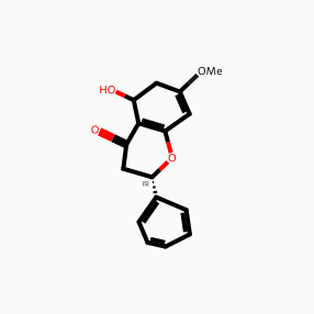 COC1=CC2=C(C(=O)C[C@@H](c3ccccc3)O2)C(O)C1